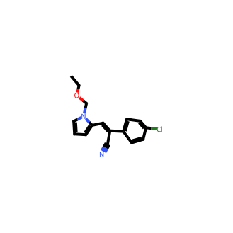 CCOCn1cccc1C=C(C#N)c1ccc(Cl)cc1